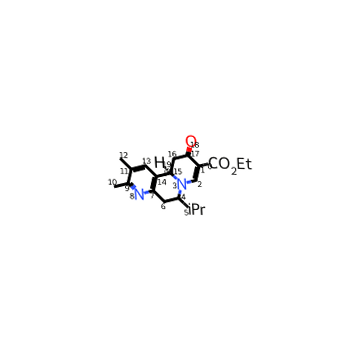 CCOC(=O)C1=CN2C(C(C)C)Cc3nc(C)c(C)cc3[C@H]2CC1=O